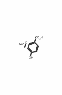 C[O-].O=C(O)c1ccc(O)cc1.[Na+]